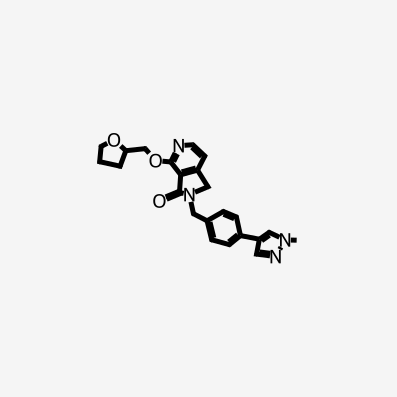 Cn1cc(-c2ccc(CN3Cc4ccnc(OCC5CCCO5)c4C3=O)cc2)cn1